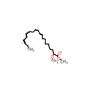 CC/C=C\C/C=C\C/C=C\CCCCCCCCC(OC)C(=O)OCC